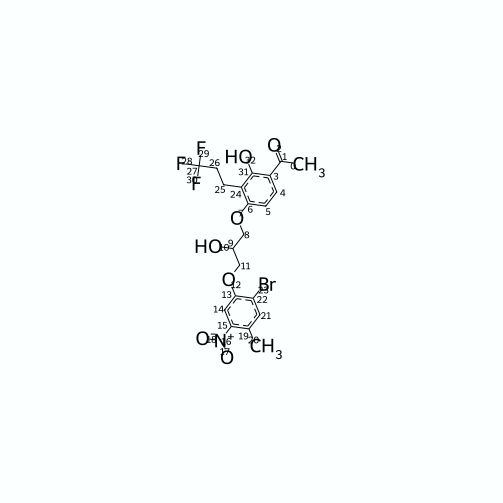 CC(=O)c1ccc(OCC(O)COc2cc([N+](=O)[O-])c(C)cc2Br)c(CCC(F)(F)F)c1O